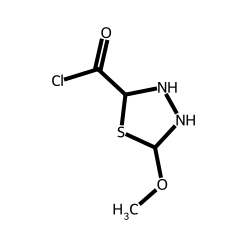 COC1NNC(C(=O)Cl)S1